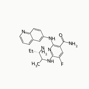 CC[C@H](N)C(C)Nc1nc(Nc2ccc3ncccc3c2)c(C(N)=O)cc1F